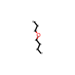 [CH2]C[CH]OCCCC